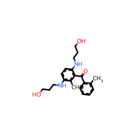 Cc1ccccc1C(=O)c1c(NCCCO)ccc(NCCCO)c1C=O